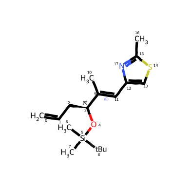 C=CC[C@H](O[Si](C)(C)C(C)(C)C)/C(C)=C/c1csc(C)n1